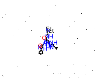 CCN(CC)CCCNC(=O)c1cc(Nc2cc(C3CC3)[nH]n2)nc(NCc2cc(-c3ccccc3)no2)n1